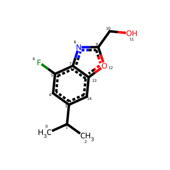 CC(C)c1cc(F)c2nc(CO)oc2c1